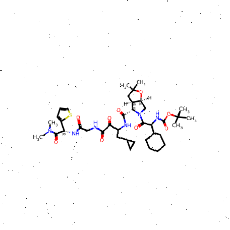 CN(C)C(=O)[C@@H](NC(=O)CNC(=O)C(=O)C(CC1CC1)NC(=O)[C@@H]1[C@H]2CC(C)(C)O[C@H]2CN1C(=O)C(NC(=O)OC(C)(C)C)C1CCCCC1)c1cccs1